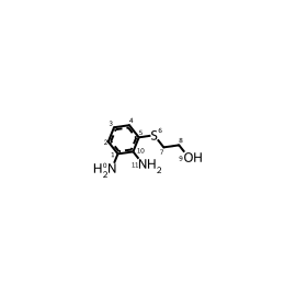 Nc1cccc(SCCO)c1N